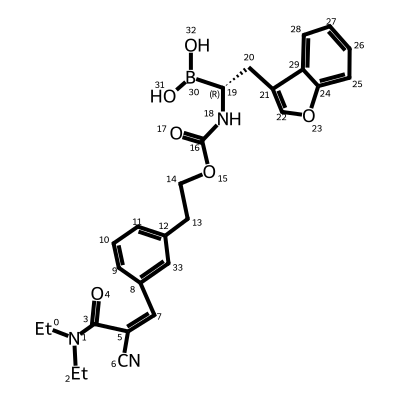 CCN(CC)C(=O)C(C#N)=Cc1cccc(CCOC(=O)N[C@@H](Cc2coc3ccccc23)B(O)O)c1